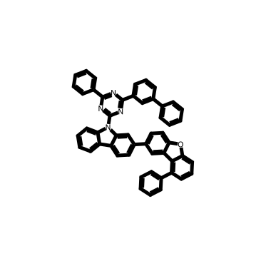 c1ccc(-c2cccc(-c3nc(-c4ccccc4)nc(-n4c5ccccc5c5ccc(-c6ccc7oc8cccc(-c9ccccc9)c8c7c6)cc54)n3)c2)cc1